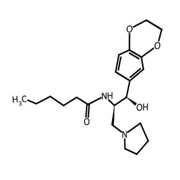 CCCCCC(=O)N[C@H](CN1CCCC1)[C@H](O)c1ccc2c(c1)OCCO2